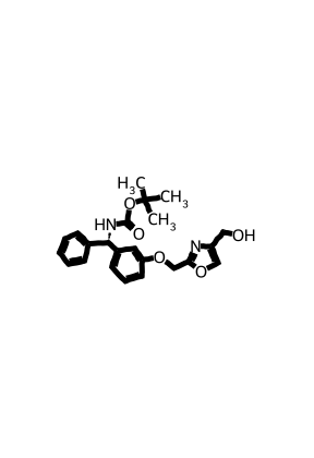 CC(C)(C)OC(=O)N[C@@H](c1ccccc1)c1cccc(OCc2nc(CO)co2)c1